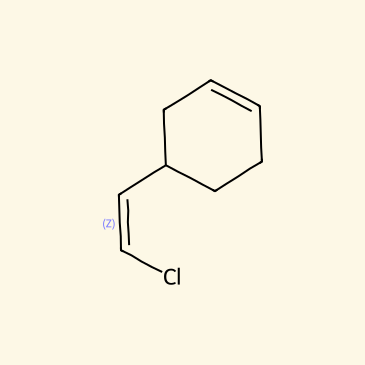 Cl/C=C\C1CC=CCC1